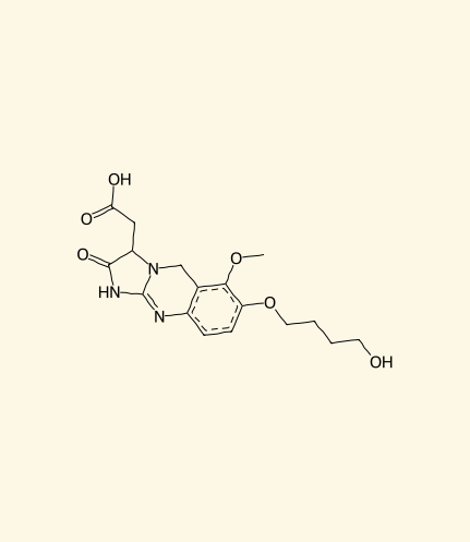 COc1c(OCCCCO)ccc2c1CN1C(=N2)NC(=O)C1CC(=O)O